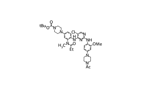 CCC(=O)N(C)c1cc(N2CCN(C(=O)OC(C)(C)C)CC2)ccc1Nc1nc(Nc2ccc(N3CCN(C(C)=O)CC3)cc2OC)ncc1Cl